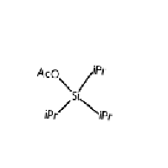 [CH2]C(=O)O[Si](C(C)C)(C(C)C)C(C)C